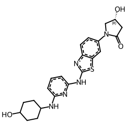 O=C1C[C@@H](O)CN1c1ccc2nc(Nc3cccc(NC4CCC(O)CC4)n3)sc2c1